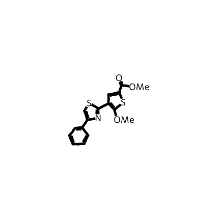 COC(=O)c1cc(-c2nc(-c3ccccc3)cs2)c(OC)s1